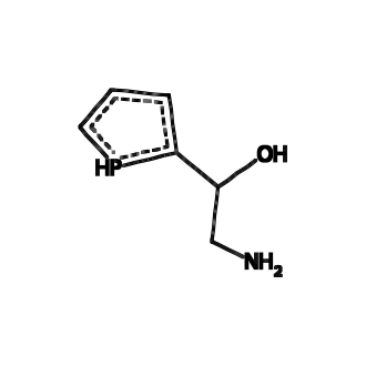 NCC(O)c1ccc[pH]1